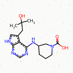 CC(C)(O)Cc1c[nH]c2ncnc(NC3CCCN(C(=O)O)C3)c12